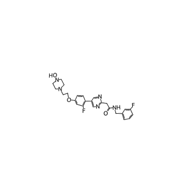 O=C(Cc1ncc(-c2ccc(OCCN3CCN(O)CC3)cc2F)cn1)NCc1cccc(F)c1